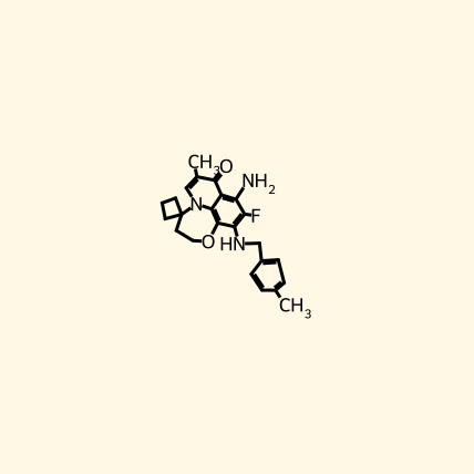 Cc1ccc(CNc2c(F)c(N)c3c(=O)c(C)cn4c3c2OCCC42CCC2)cc1